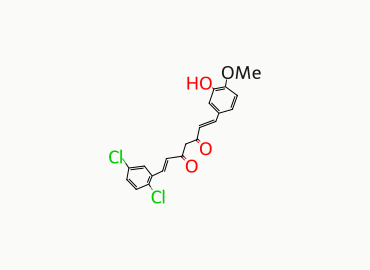 COc1ccc(/C=C/C(=O)CC(=O)/C=C/c2cc(Cl)ccc2Cl)cc1O